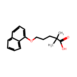 CC(C)(CCCOc1cccc2ccccc12)C(=O)O